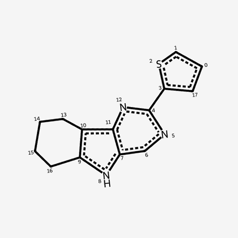 c1csc(-c2ncc3[nH]c4c(c3n2)CCCC4)c1